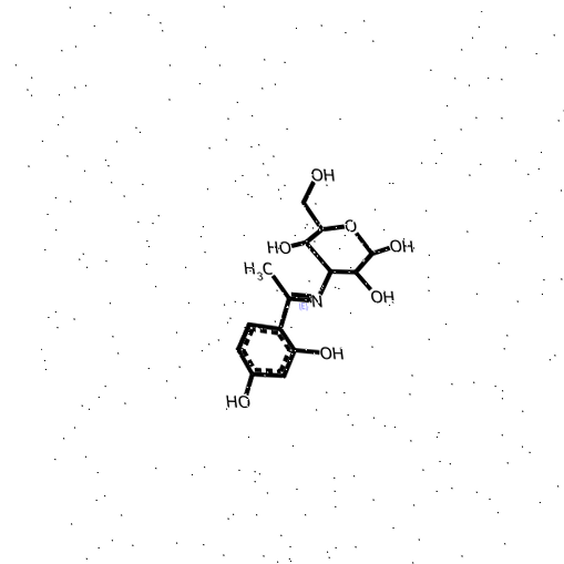 C/C(=N\C1C(O)C(O)OC(CO)C1O)c1ccc(O)cc1O